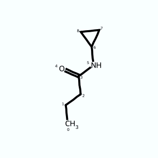 CCCC(=O)NC1CC1